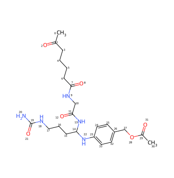 CC(=O)CCCCC(=O)NCC(=O)NC(CCCNC(N)=O)Nc1ccc(COC(C)=O)cc1